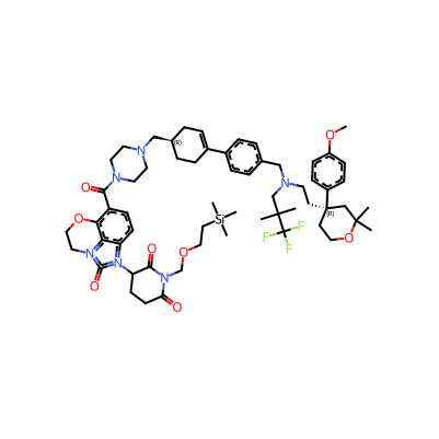 COc1ccc([C@]2(CCN(Cc3ccc(C4=CC[C@H](CN5CCN(C(=O)c6ccc7c8c6OCCn8c(=O)n7C6CCC(=O)N(COCC[Si](C)(C)C)C6=O)CC5)CC4)cc3)CC(C)(C)C(F)(F)F)CCOC(C)(C)C2)cc1